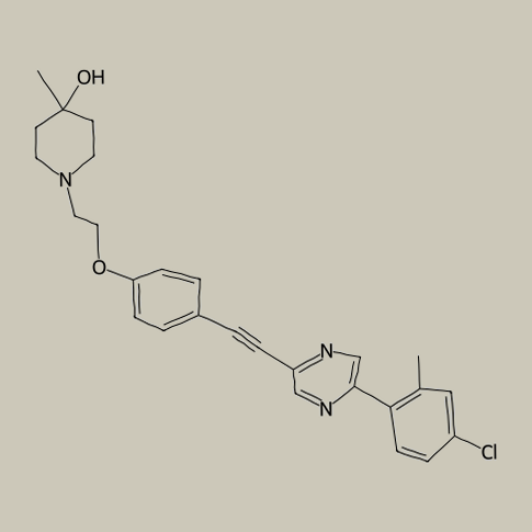 Cc1cc(Cl)ccc1-c1cnc(C#Cc2ccc(OCCN3CCC(C)(O)CC3)cc2)cn1